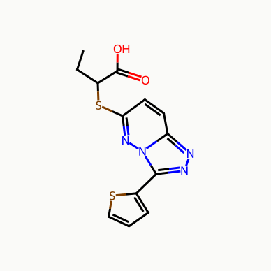 CCC(Sc1ccc2nnc(-c3cccs3)n2n1)C(=O)O